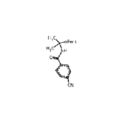 CCCCCC(C)(C)NC(=O)c1ccc(C#N)cc1